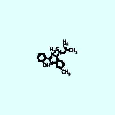 C=C(C)CN(C)c1nc(-c2ccccc2O)nc2cc(C)ccc12